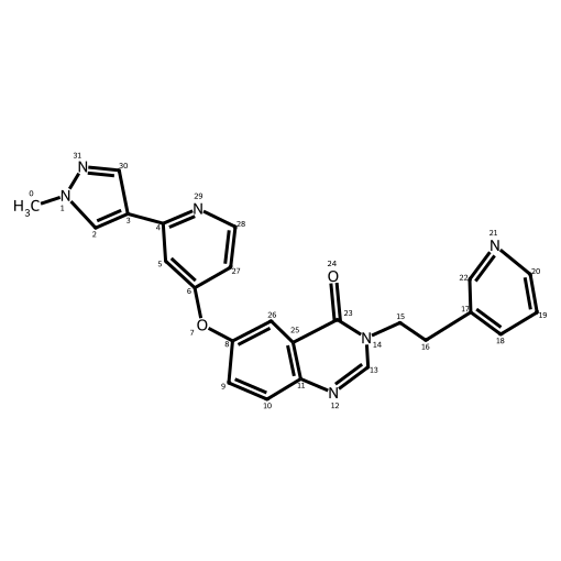 Cn1cc(-c2cc(Oc3ccc4ncn(CCc5cccnc5)c(=O)c4c3)ccn2)cn1